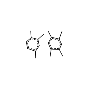 Cc1cc(C)c(C)cc1C.Cc1ccc(C)c(C)c1